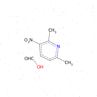 Cc1ccc([N+](=O)[O-])c(C)n1.O=CO